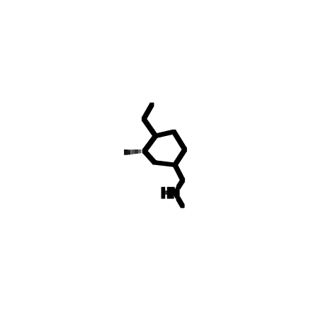 CCC1CCC(CNC)C[C@@H]1C